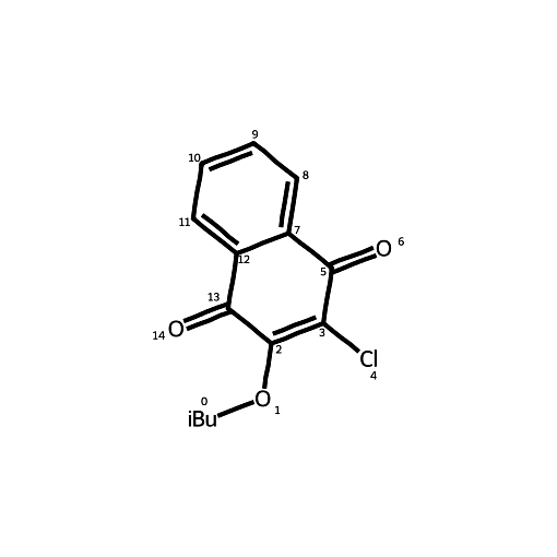 CCC(C)OC1=C(Cl)C(=O)c2ccccc2C1=O